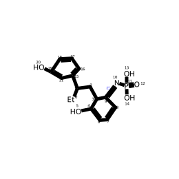 CCC(CC1C(O)=CC=C/C1=N\P(=O)(O)O)c1cccc(O)c1